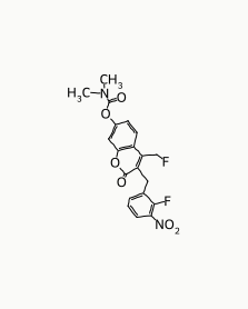 CN(C)C(=O)Oc1ccc2c(CF)c(Cc3cccc([N+](=O)[O-])c3F)c(=O)oc2c1